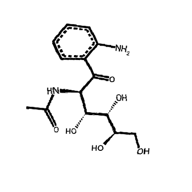 CC(=O)N[C@@H](C(=O)c1ccccc1N)[C@@H](O)[C@H](O)[C@H](O)CO